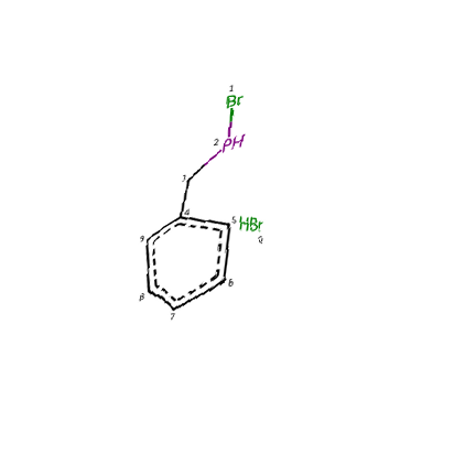 Br.BrPCc1ccccc1